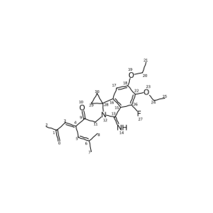 C=C(C)/C=C(\C=C(C)C)C(=O)CN1C(=N)c2c(cc(OCC)c(OCC)c2F)C12CC2